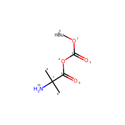 CCCCOC(=O)OC(=O)C(C)(C)N